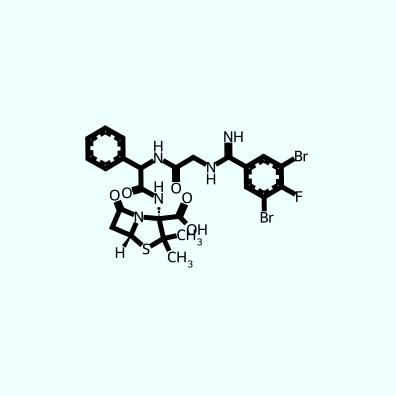 CC1(C)S[C@@H]2CC(=O)N2[C@@]1(NC(=O)C(NC(=O)CNC(=N)c1cc(Br)c(F)c(Br)c1)c1ccccc1)C(=O)O